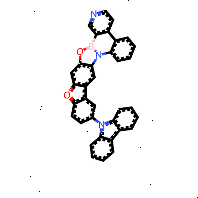 c1ccc2c(c1)-c1ccncc1B1Oc3cc4oc5ccc(-n6c7ccccc7c7ccccc76)cc5c4cc3N12